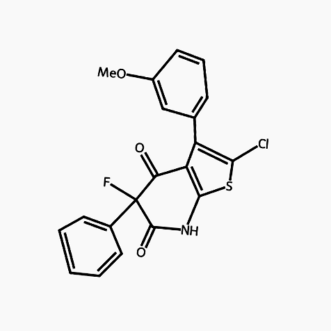 COc1cccc(-c2c(Cl)sc3c2C(=O)C(F)(c2ccccc2)C(=O)N3)c1